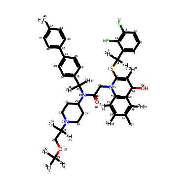 [2H]C1=C(SC([2H])([2H])c2cccc(F)c2F)N(CC(=O)N(C2CCN(C([2H])([2H])COC([2H])([2H])[2H])CC2)C([2H])([2H])c2ccc(-c3ccc(C(F)(F)F)cc3)cc2)c2c([2H])c([2H])c(C)c([2H])c2C1O